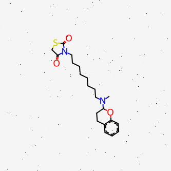 CN(CCCCCCCCN1C(=O)CSC1=O)C1CCc2ccccc2O1